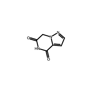 O=C1Cn2nccc2C(=O)N1